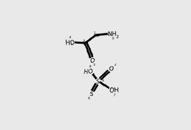 NCC(=O)O.O=S(O)(O)=S